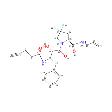 C#CCCC(=O)N[C@@H](Cc1ccccc1)[C@H](O)C(=O)N1CC(F)(F)C[C@H]1C(=O)NCC=C